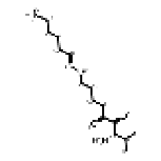 CC(C)[C@H](N)C(=O)C(=O)CCCCO/N=C/CCCCN